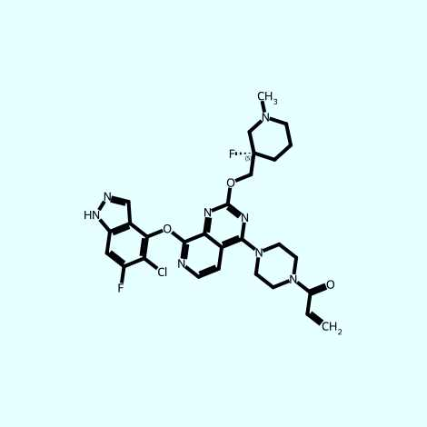 C=CC(=O)N1CCN(c2nc(OC[C@]3(F)CCCN(C)C3)nc3c(Oc4c(Cl)c(F)cc5[nH]ncc45)nccc23)CC1